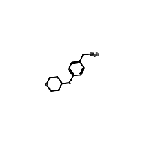 CCOC(=O)Cc1ccc(SC2CCOCC2)cc1